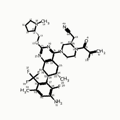 C=C(F)C(=O)N1CCN(c2nc(OC[C@@H]3CCCN3C)nc3c2C[C@H](C)[C@@H](c2c(F)c(N)cc(C)c2C(F)(F)F)C3)C[C@H]1CC#N